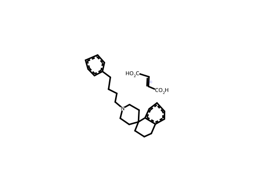 O=C(O)/C=C/C(=O)O.c1ccc(CCCCN2CCC3(CCCc4ccccc43)CC2)cc1